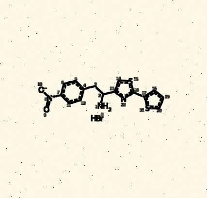 Br.NC(Cc1ccc([N+](=O)[O-])cc1)c1csc(-c2cccs2)n1